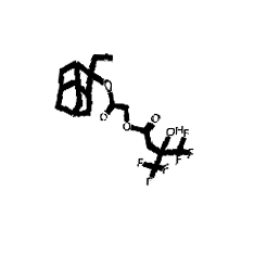 CCC1(OC(=O)COC(=O)CC(O)(C(F)(F)F)C(F)(F)F)C2CC3CC(C2)CC1C3